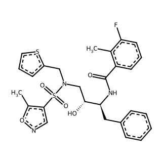 Cc1oncc1S(=O)(=O)N(Cc1cccs1)C[C@@H](O)[C@H](Cc1ccccc1)NC(=O)c1cccc(F)c1C